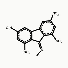 CN=C1c2c(cc([N+](=O)[O-])cc2[N+](=O)[O-])-c2cc([N+](=O)[O-])cc([N+](=O)[O-])c21